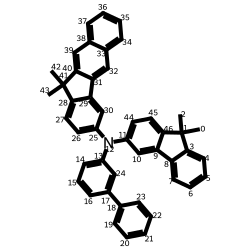 CC1(C)c2ccccc2-c2cc(N(c3cccc(-c4ccccc4)c3)c3ccc4c(c3)-c3cc5ccccc5cc3C4(C)C)ccc21